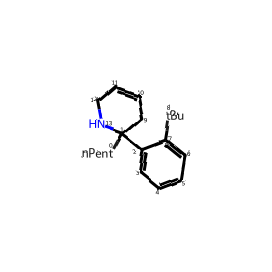 [CH2]CCCCC1(c2ccccc2C(C)(C)C)CC=CCN1